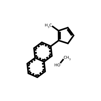 CC1=C(c2ccc3ccccc3c2)CC=C1.CO